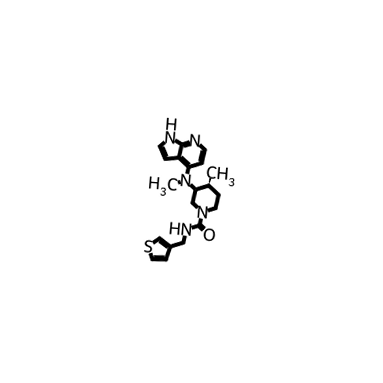 C[C@@H]1CCN(C(=O)NCc2ccsc2)CC1N(C)c1ccnc2[nH]ccc12